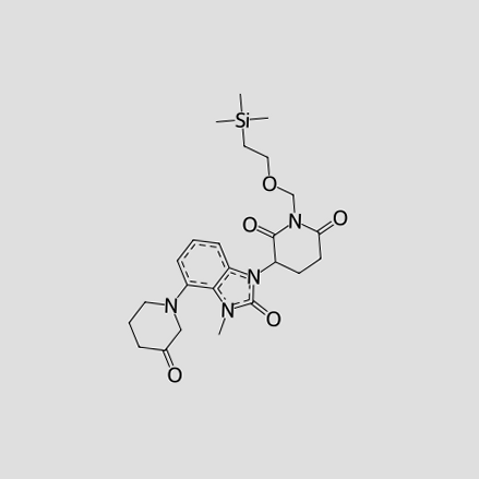 Cn1c(=O)n(C2CCC(=O)N(COCC[Si](C)(C)C)C2=O)c2cccc(N3CCCC(=O)C3)c21